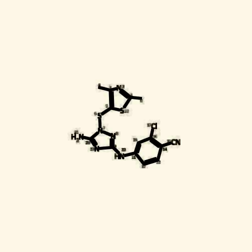 Cc1nc(C)c(Sn2nc(Nc3ccc(C#N)c(Cl)c3)nc2N)s1